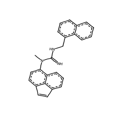 CN(C(=N)NCc1cccc2ccccc12)c1ccc2c3c(cccc13)C=C2